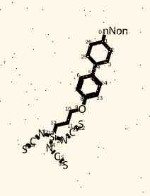 CCCCCCCCCC1CCC(c2ccc(OCCC[Si](N=C=S)(N=C=S)N=C=S)cc2)CC1